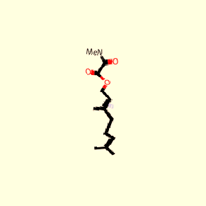 CNC(=O)C(=O)OC/C=C(\C)CCC=C(C)C